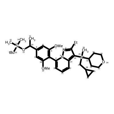 CCc1nn2c(-c3c(OC)cc(C(C)O[Si](C)(C)C(C)(C)C)cc3OC)cccc2c1[N+](C)(CC1CC1)C1CCOCC1